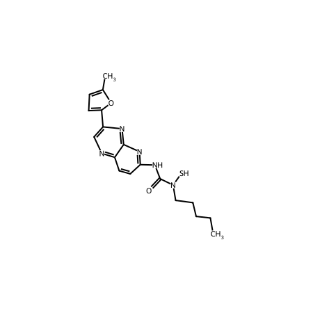 CCCCCN(S)C(=O)Nc1ccc2ncc(-c3ccc(C)o3)nc2n1